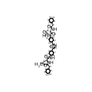 CSC[C@H](NC(=O)Cc1ccccc1)C(=O)Nc1ccc(-c2ncc(-c3ccc(NC(=O)[C@@H](CSC)NC(=O)Cc4ccccc4)cc3)o2)cc1